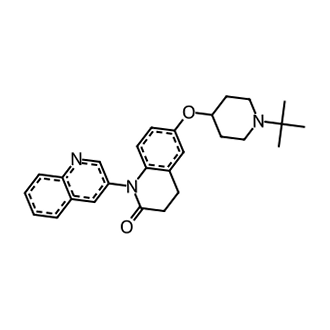 CC(C)(C)N1CCC(Oc2ccc3c(c2)CCC(=O)N3c2cnc3ccccc3c2)CC1